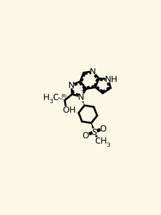 C[C@@H](O)c1nc2cnc3[nH]ccc3c2n1[C@H]1CC[C@H](S(C)(=O)=O)CC1